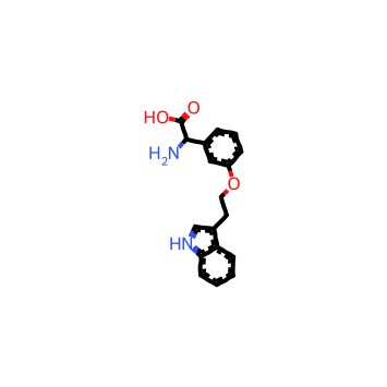 NC(C(=O)O)c1cccc(OCCc2c[nH]c3ccccc23)c1